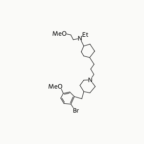 CCN(CCOC)C1CCC(CCCN2CCC(Cc3cc(OC)ccc3Br)CC2)CC1